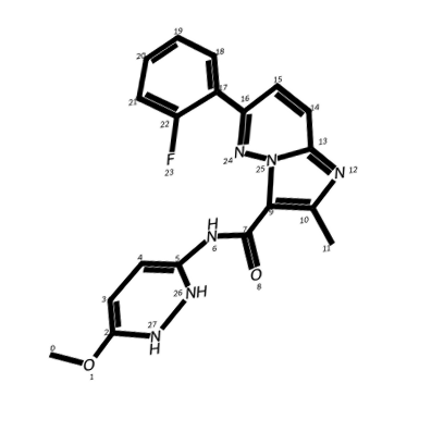 COC1=CC=C(NC(=O)c2c(C)nc3ccc(-c4ccccc4F)nn23)NN1